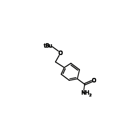 CC(C)(C)OCc1ccc(C(N)=O)cc1